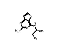 CCC[C@H](CO)Nc1nc(C)nc2ccsc12